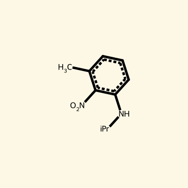 Cc1cccc(NC(C)C)c1[N+](=O)[O-]